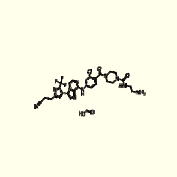 N#CCCn1cc(-c2cnc3c(Nc4ccc(C(=O)N5CCN(C(=O)NCCN)CC5)c(Cl)c4)nccn23)c(C(F)(F)F)n1.O=CO